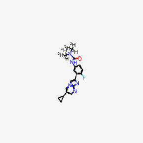 [2H]C([2H])([2H])N(C(=O)Nc1ccc(F)c(-c2cn3cc(C4CC4)cnc3n2)c1)C([2H])([2H])[2H]